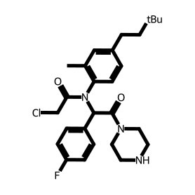 Cc1cc(CCC(C)(C)C)ccc1N(C(=O)CCl)C(C(=O)N1CCNCC1)c1ccc(F)cc1